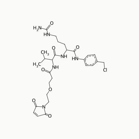 CC(C)C(NC(=O)CCOCCN1C(=O)C=CC1=O)C(=O)NC(CCCNC(N)=O)C(=O)Nc1ccc(CCl)cc1